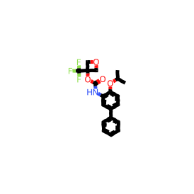 CC(C)Oc1ccc(-c2ccccc2)cc1NC(=O)OC1(C(F)(F)F)COC1